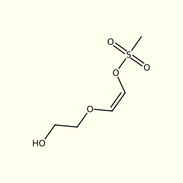 CS(=O)(=O)O/C=C\OCCO